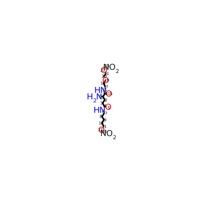 NC(CCC(=O)NCCCCCO[N+](=O)[O-])C(=O)NCCOCCO[N+](=O)[O-]